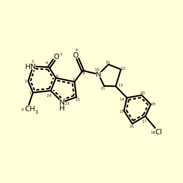 Cc1c[nH]c(=O)c2c(C(=O)N3CCC(c4ccc(Cl)cc4)C3)c[nH]c12